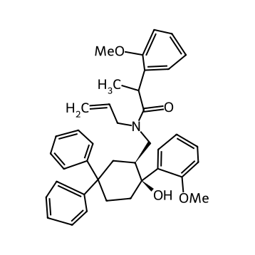 C=CCN(C[C@@H]1CC(c2ccccc2)(c2ccccc2)CC[C@@]1(O)c1ccccc1OC)C(=O)C(C)c1ccccc1OC